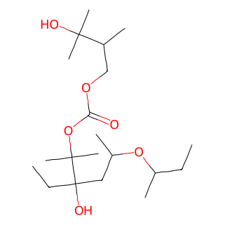 CCC(C)OC(C)CC(O)(CC)C(C)(C)OC(=O)OCC(C)C(C)(C)O